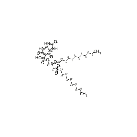 CCCCCCCCCCCCOC(COP(=O)(O)n1c(=O)[nH]c2[nH]c(=O)[nH]c2c1=O)CS(=O)(=O)CCCCCCCCCC